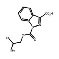 CCCCC(CC)COC(=O)n1nc(C(=O)O)c2ccccc21